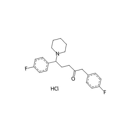 Cl.O=C(CCC(c1ccc(F)cc1)N1CCCCC1)Cc1ccc(F)cc1